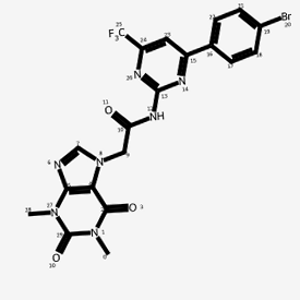 Cn1c(=O)c2c(ncn2CC(=O)Nc2nc(-c3ccc(Br)cc3)cc(C(F)(F)F)n2)n(C)c1=O